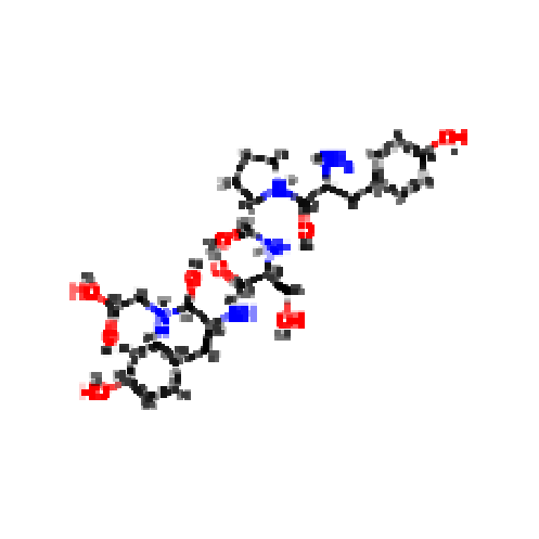 N[C@@H](Cc1ccc(O)cc1)C(=O)N1CCC[C@H]1C(=O)N[C@@H](CO)C(=O)N[C@@H](Cc1ccc(O)cc1)C(=O)NCC(=O)O